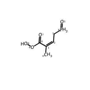 CC(=CC[PH2]=O)C(=O)OO